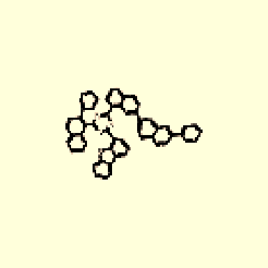 c1ccc(-c2ccc3ccc(-c4ccc5cccc(-c6nc(-c7c(-c8ccccc8)ccc8ccccc78)nc(-c7cccc8c7sc7ccccc78)n6)c5c4)cc3c2)cc1